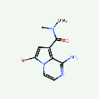 CON(C)C(=O)c1cc(Br)n2ccnc(N)c12